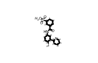 CS(=O)(=O)c1cccc(C(=O)Nc2ccc(I)c(-c3ccccn3)c2)c1